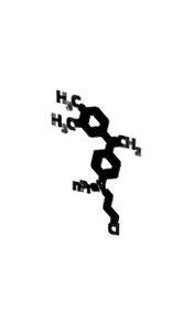 C=C(c1ccc(N(CCC)CCCCl)cc1)c1ccc(C)c(C)c1